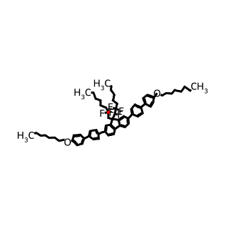 CCCCCCCCOc1ccc(-c2ccc(-c3ccc4c(c3)C(CC(F)(F)CCCCCC)(C(F)(F)C(F)(F)CCCCCC)c3cc(-c5ccc(-c6ccc(OCCCCCCCC)cc6)cc5)ccc3-4)cc2)cc1